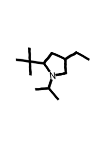 CCC1CC(C(C)(C)C)N(C(C)C)C1